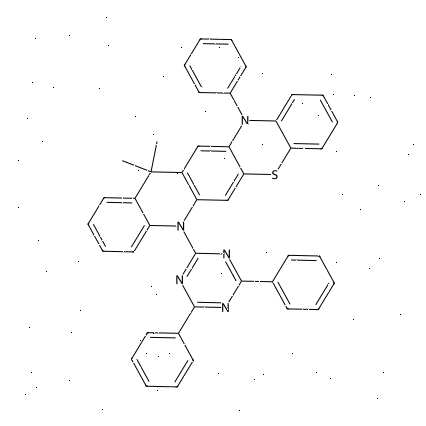 CC1(C)c2ccccc2N(c2nc(-c3ccccc3)nc(-c3ccccc3)n2)c2cc3c(cc21)N(c1ccccc1)c1ccccc1S3